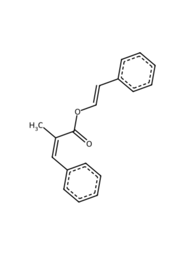 CC(=Cc1ccccc1)C(=O)OC=Cc1ccccc1